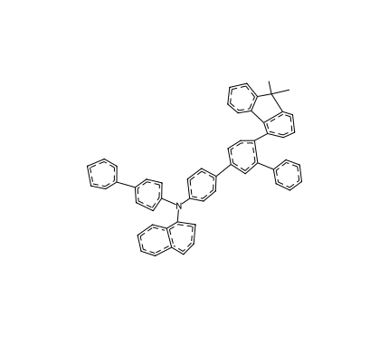 CC1(C)c2ccccc2-c2c(-c3ccc(-c4ccc(N(c5ccc(-c6ccccc6)cc5)c5cccc6ccccc56)cc4)cc3-c3ccccc3)cccc21